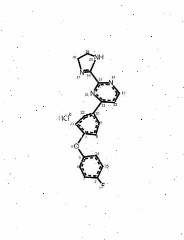 Cl.Fc1ccc(Oc2ccc(-c3ccnc(C4=NCCN4)n3)cc2)cc1